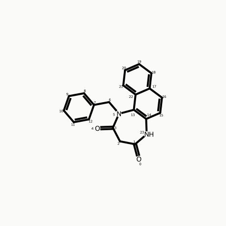 O=C1CC(=O)N(Cc2ccccc2)c2c(ccc3ccccc23)N1